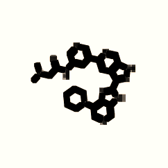 CN(C)CC(=O)Nc1cncc(-c2cc3c(-c4nc5c(N6CCCCC6)cncc5[nH]4)n[nH]c3cn2)c1